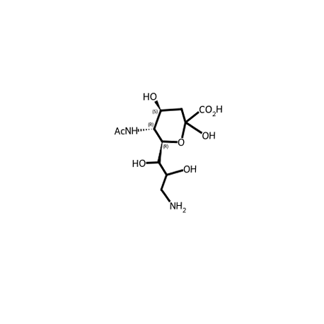 CC(=O)N[C@@H]1[C@@H](O)CC(O)(C(=O)O)O[C@H]1C(O)C(O)CN